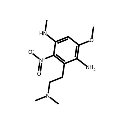 CNc1cc(OC)c(N)c(CCN(C)C)c1[N+](=O)[O-]